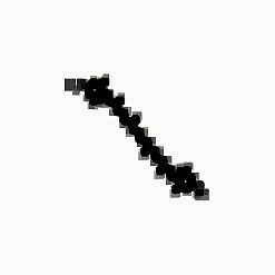 B[C@@H]1C=C(C)C(/C=C/C(C)=C/C=C/C(C)=C/C=C/C=C(C)/C=C/C=C(C)/C=C/C2C(C)=C[C@@H](OCC)CC2(C)C)C(C)(C)C1